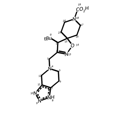 CC(C)(C)C1C(CN2CCc3[nH]nnc3C2)=NOC12CCN(C(=O)O)CC2